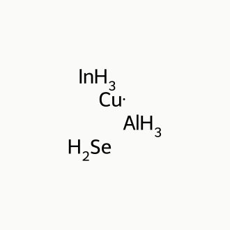 [AlH3].[Cu].[InH3].[SeH2]